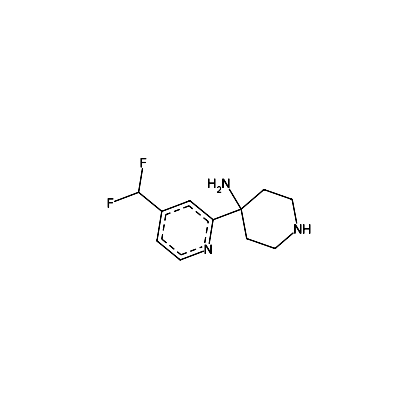 NC1(c2cc(C(F)F)ccn2)CCNCC1